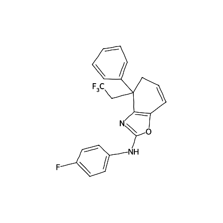 Fc1ccc(Nc2nc3c(o2)C=CCC3(CC(F)(F)F)c2ccccc2)cc1